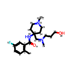 Cc1ccc(F)cc1C(=O)NC1(CN(C)CCCO)CCN(C(C)C)CC1